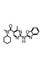 Cc1nc(Nc2nc3ccccc3o2)ncc1C(=O)N(C)C1CCCCC1